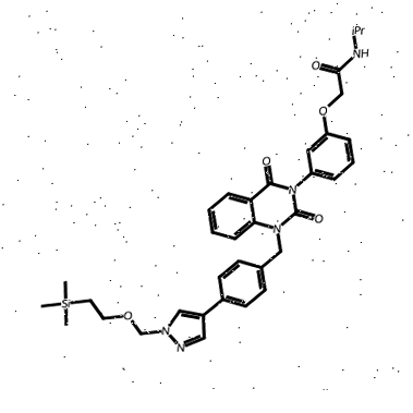 CC(C)NC(=O)COc1cccc(-n2c(=O)c3ccccc3n(Cc3ccc(-c4cnn(COCC[Si](C)(C)C)c4)cc3)c2=O)c1